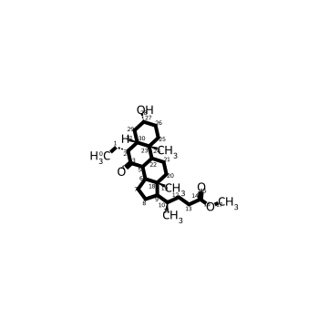 CC[C@H]1C(=O)C2C3CCC([C@H](C)CCC(=O)OC)[C@@]3(C)CCC2[C@@]2(C)CC[C@@H](O)C[C@@H]12